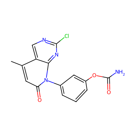 Cc1cc(=O)n(-c2cccc(OC(N)=O)c2)c2nc(Cl)ncc12